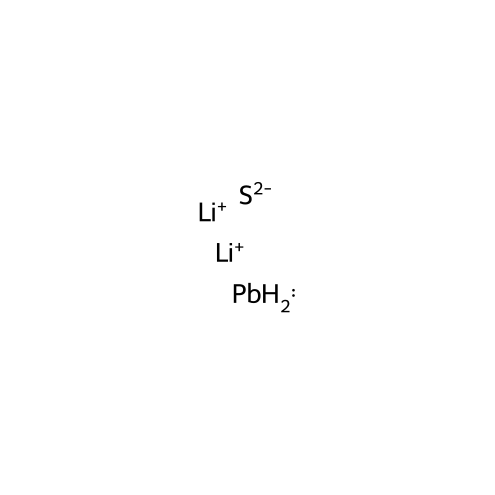 [Li+].[Li+].[PbH2].[S-2]